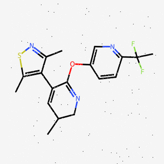 Cc1nsc(C)c1C1=CC(C)CN=C1Oc1ccc(C(C)(F)F)nc1